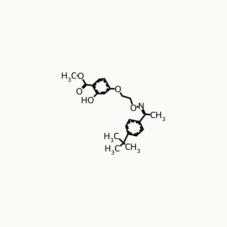 COC(=O)c1ccc(OCCON=C(C)c2ccc(C(C)(C)C)cc2)cc1O